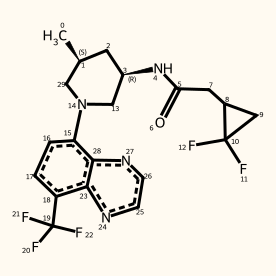 C[C@H]1C[C@@H](NC(=O)CC2CC2(F)F)CN(c2ccc(C(F)(F)F)c3nccnc23)C1